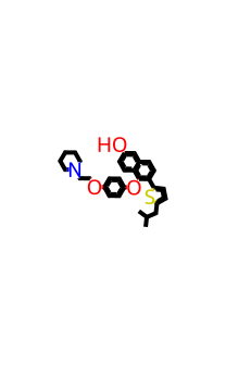 CC(C)Cc1ccc(-c2ccc3cc(O)ccc3c2Oc2ccc(OCCN3CCCCC3)cc2)s1